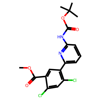 COC(=O)c1cc(-c2cccc(NC(=O)OC(C)(C)C)n2)c(Cl)cc1Cl